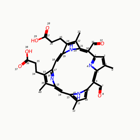 CC1=Cc2nc1c(C=O)c1cc(C)c(cc3nc(cc4[nH]c(c(C)c4CCC(=O)O)c2C=O)C(CCC(=O)O)=C3C)[nH]1